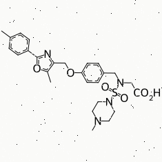 Cc1ccc(-c2nc(COc3ccc(CN(CC(=O)O)S(=O)(=O)N4CCN(C)CC4)cc3)c(C)o2)cc1